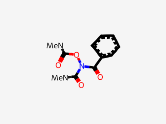 CNC(=O)ON(C(=O)NC)C(=O)c1ccccc1